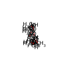 COc1cc(C)[nH]c(=O)c1CNC(=O)c1c(C)n(C(C)C2CCN(CC(F)(F)F)CC2)c2cc(OCCOCCOCC(=O)NC(C(=O)N3C[C@H](O)C[C@H]3C(=O)NC(C)c3ccc(-c4scnc4C)cc3)C(C)(C)C)ccc12